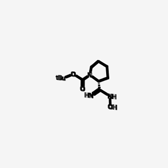 CC(C)(C)OC(=O)N1CCCC[C@@H]1C(=N)NO